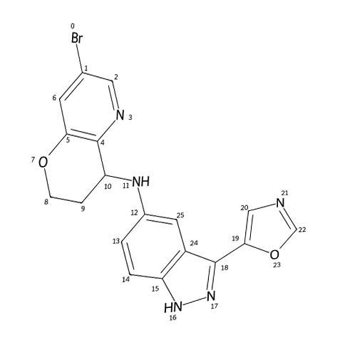 Brc1cnc2c(c1)OCCC2Nc1ccc2[nH]nc(-c3cnco3)c2c1